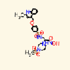 Cc1cc(COc2ccc(S(=O)(=O)NC[C@@H](C(=O)NO)N3CCCN(S(C)(=O)=O)CC3)cc2)c2ccccc2n1